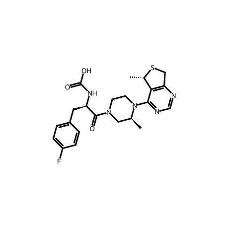 C[C@@H]1SCc2ncnc(N3CCN(C(=O)[C@@H](Cc4ccc(F)cc4)NC(=O)O)C[C@@H]3C)c21